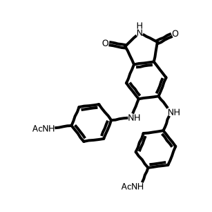 CC(=O)Nc1ccc(Nc2cc3c(cc2Nc2ccc(NC(C)=O)cc2)C(=O)NC3=O)cc1